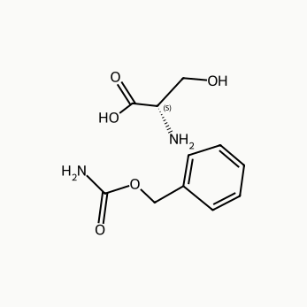 NC(=O)OCc1ccccc1.N[C@@H](CO)C(=O)O